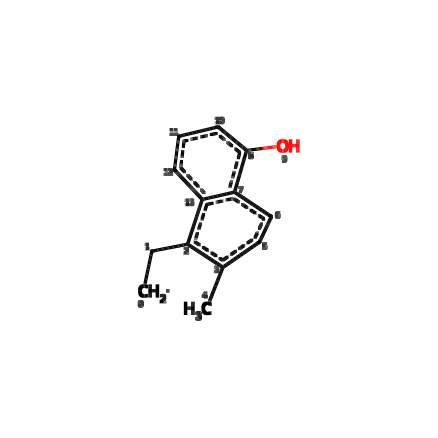 [CH2]Cc1c(C)ccc2c(O)cccc12